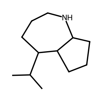 CC(C)C1CCCNC2CCCC21